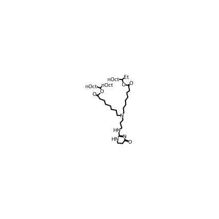 CCCCCCCCC(CC)OC(=O)CCCCCCCN(CCCCCCCC(=O)OC(CCCCCCCC)CCCCCCCC)CCCNC1=NC(=O)CCN1